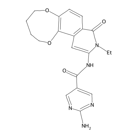 CCn1c(NC(=O)c2cnc(N)nc2)cc2c3c(ccc2c1=O)OCCCCO3